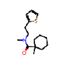 CN(CCc1cccs1)C(=O)C1(C)CCCCC1